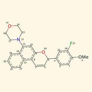 COc1ccc(C2C=Cc3c(cc(N4CCOCC4)c4ccccc34)O2)cc1F